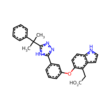 CC(C)(c1ccccc1)c1nnc(-c2cccc(Oc3ccc4[nH]ccc4c3CC(=O)O)c2)[nH]1